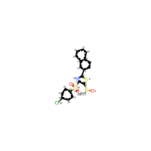 CCC[S+]([O-])c1sc(-c2ccc3ccccc3c2)nc1S(=O)(=O)c1ccc(Cl)cc1